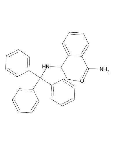 CCC(NC(c1ccccc1)(c1ccccc1)c1ccccc1)c1ccccc1C(N)=O